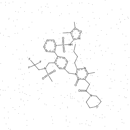 CCCCc1nc(C)c(CC(=O)N2CCOCC2)c(=O)n1Cc1ccc(-c2ccccc2S(=O)(=O)Nc2noc(C)c2C)c(CN(CC(F)(F)F)S(C)(=O)=O)c1